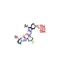 CC(=O)c1nn(CC(=O)N2C[C@H](F)C[C@H]2C(=O)Nc2nc(Br)ccc2C)c2cc(OCP(=O)(O)O)ccc12